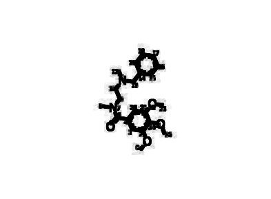 COc1cc(C(=O)N(C)CCN(C)Cc2ccccc2)cc(OC)c1OC